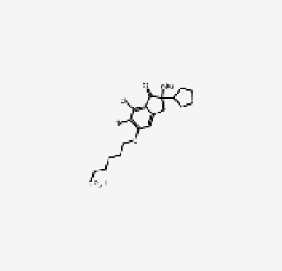 CCCCC1(C2CCCC2)Cc2cc(OCCCCCC(=O)O)c(Cl)c(Cl)c2C1=O